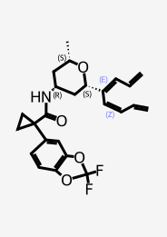 C=C/C=C\C(=C/C=C)[C@@H]1C[C@H](NC(=O)C2(c3ccc4c(c3)OC(F)(F)O4)CC2)C[C@H](C)O1